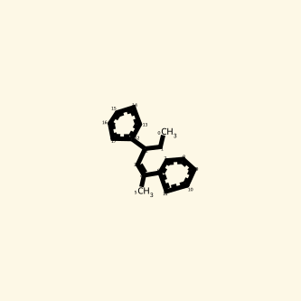 CCC(/C=C(/C)c1ccccc1)c1ccccc1